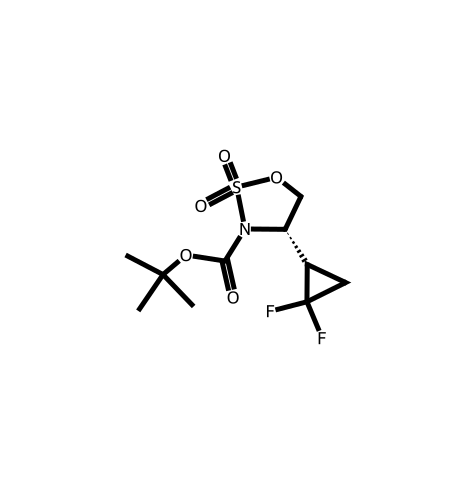 CC(C)(C)OC(=O)N1[C@@H](C2CC2(F)F)COS1(=O)=O